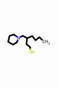 CCCCC(CCS)CN1CCCCC1